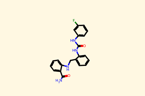 NC(=O)c1ccccc1NCc1ccccc1NC(=O)Nc1cccc(F)c1